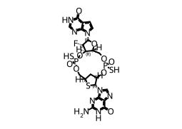 Nc1nc2c(ncn2[C@@H]2S[C@@H]3COP(=O)(S)O[C@H]4[C@H](F)[C@H](n5ccc6c(=O)[nH]cnc65)O[C@@H]4COP(=O)(S)O[C@@H]2C3)c(=O)[nH]1